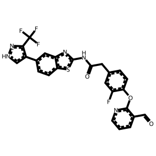 O=Cc1cccnc1Oc1ccc(CC(=O)Nc2nc3cc(-c4c[nH]nc4C(F)(F)F)ccc3s2)cc1F